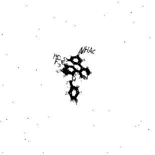 CC(=O)Nc1cc(C(=O)O)cc(-c2ccncc2-c2cc(C(F)(F)F)ccc2OCc2ccc(F)cc2)c1